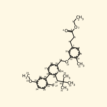 CCOC(=O)CCc1ccc(C)c(OCc2ccc(-c3cc(OC)ccc3F)c(CC(C)(C)C)n2)c1